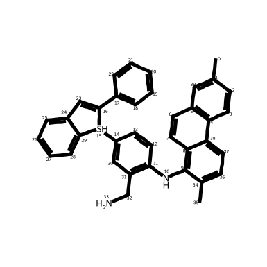 Cc1ccc2c(ccc3c(Nc4ccc([SH]5C(c6ccccc6)=Cc6ccccc65)cc4CN)c(C)ccc32)c1